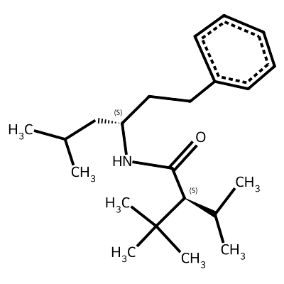 CC(C)C[C@H](CCc1ccccc1)NC(=O)[C@@H](C(C)C)C(C)(C)C